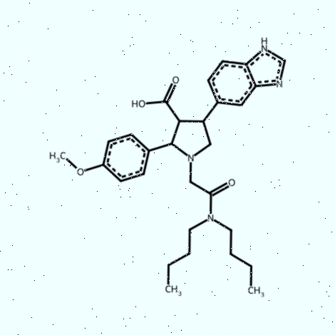 CCCCN(CCCC)C(=O)CN1CC(c2ccc3[nH]cnc3c2)C(C(=O)O)C1c1ccc(OC)cc1